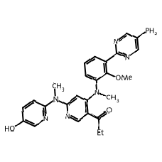 CCC(=O)c1cnc(N(C)c2ccc(O)cn2)cc1N(C)c1cccc(-c2ncc(P)cn2)c1OC